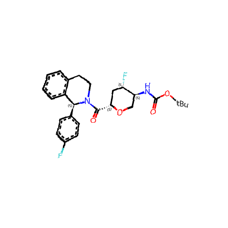 CC(C)(C)OC(=O)N[C@H]1CO[C@H](C(=O)N2CCc3ccccc3[C@@H]2c2ccc(F)cc2)C[C@@H]1F